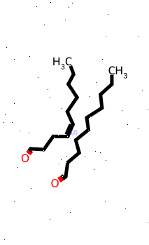 CCCCC/C=C\CCC=O.CCCCCCCCCC=O